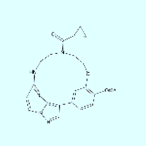 COc1ccc2cc1OCCN(C(=O)C1CC1)CCNc1ccn3ncc-2c3n1